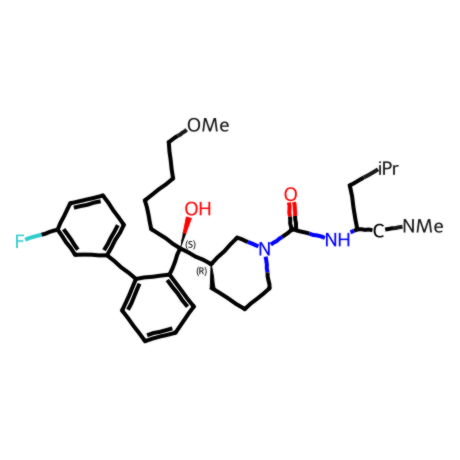 CNCC(CC(C)C)NC(=O)N1CCC[C@@H]([C@@](O)(CCCCOC)c2ccccc2-c2cccc(F)c2)C1